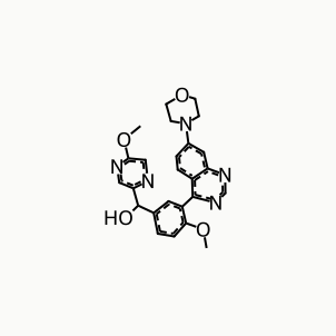 COc1cnc(C(O)c2ccc(OC)c(-c3ncnc4cc(N5CCOCC5)ccc34)c2)cn1